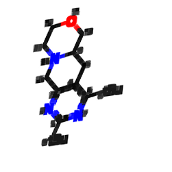 CC(C)(C)c1nc2c(c(C(C)(C)C)n1)CC1COCCN1C2